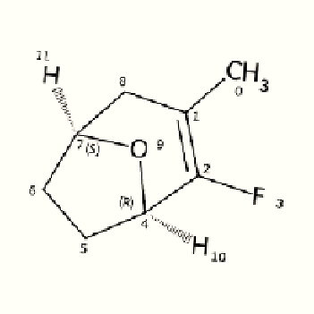 CC1=C(F)[C@H]2CC[C@@H](C1)O2